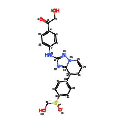 O=C(CO)c1ccc(Nc2nc3c(-c4ccc([S+]([O-])CO)cc4)cccn3n2)cc1